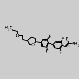 CCCOCCC1CCC(c2cc(F)c(-c3cc(F)c(/C=C(\F)P)c(F)c3)c(F)c2)OC1